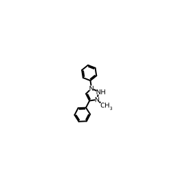 CN1NN(c2ccccc2)C=C1c1ccccc1